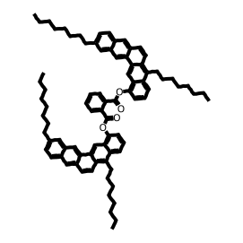 CCCCCCCCc1ccc2cc3ccc4c(CCCCCCCC)c5cccc(OC(=O)c6ccccc6C(=O)Oc6cccc7c(CCCCCCCC)c8ccc9cc%10ccc(CCCCCCCC)cc%10cc9c8cc67)c5cc4c3cc2c1